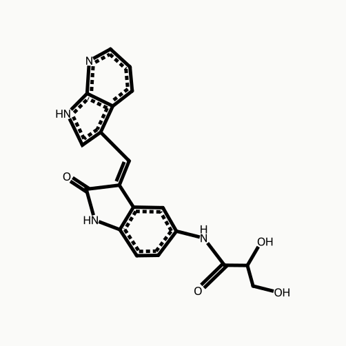 O=C1Nc2ccc(NC(=O)C(O)CO)cc2C1=Cc1c[nH]c2ncccc12